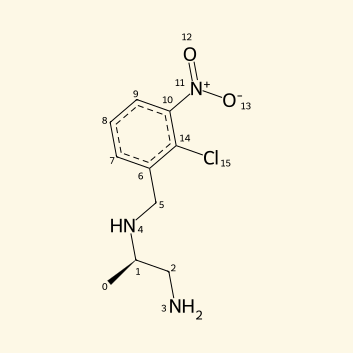 C[C@H](CN)NCc1cccc([N+](=O)[O-])c1Cl